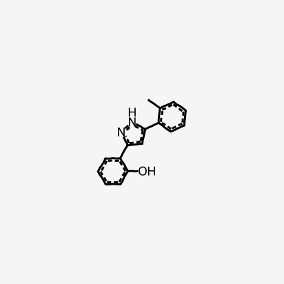 Cc1ccccc1-c1cc(-c2ccccc2O)n[nH]1